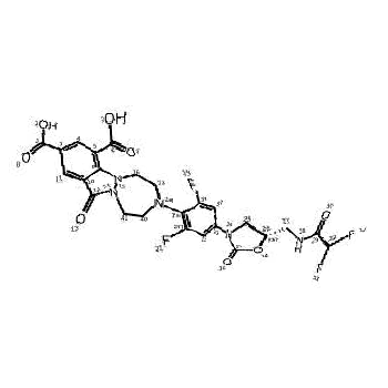 O=C(O)c1cc(C(=O)O)c2c(c1)c(=O)n1n2CCN(c2c(F)cc(N3C[C@H](CNC(=O)C(F)F)OC3=O)cc2F)CC1